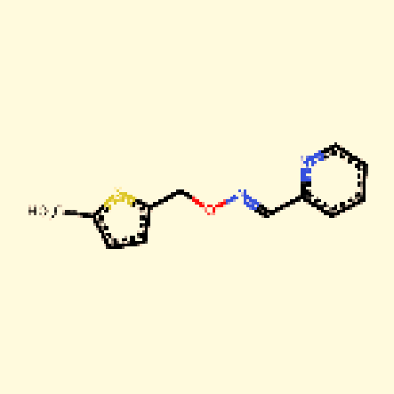 O=C(O)c1ccc(CON=Cc2ccccn2)s1